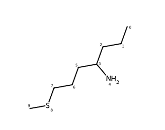 CCCC(N)CCCSC